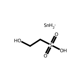 O=S(=O)(O)CCO.[SnH2]